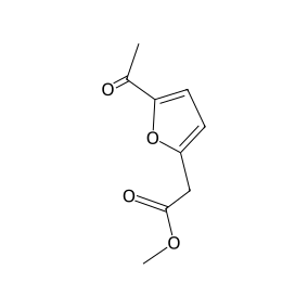 COC(=O)Cc1ccc(C(C)=O)o1